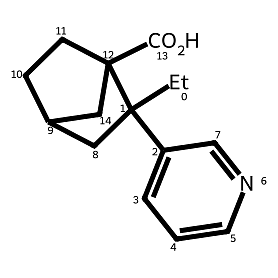 CCC1(c2cccnc2)CC2CCC1(C(=O)O)C2